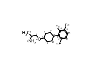 CC(N)COC1CCC(c2c(F)ccc(F)c2F)CC1